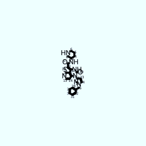 O=C(N[C@@H]1CCCNC1)c1sc2nccc3c2c1NC(=O)N3c1ccn(Cc2ccccc2)n1